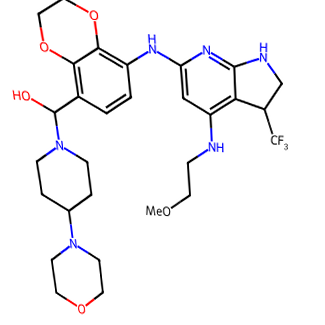 COCCNc1cc(Nc2ccc(C(O)N3CCC(N4CCOCC4)CC3)c3c2OCCO3)nc2c1C(C(F)(F)F)CN2